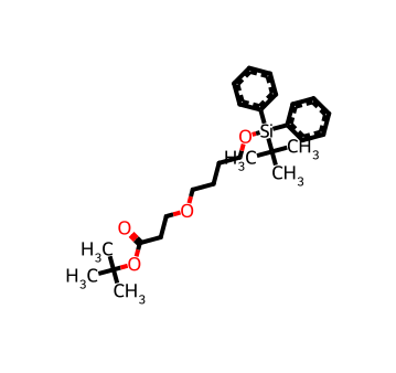 CC(C)(C)OC(=O)CCOCCCCO[Si](c1ccccc1)(c1ccccc1)C(C)(C)C